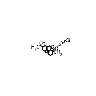 CC(C)C1=CC2=CCC3[C@](C)(C(=O)OCCOCCO)CCC[C@]3(C)[C@H]2CC1